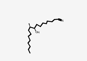 CCCCCCCC[C@@H](C)[C@H](O)CCCCCCCC#N